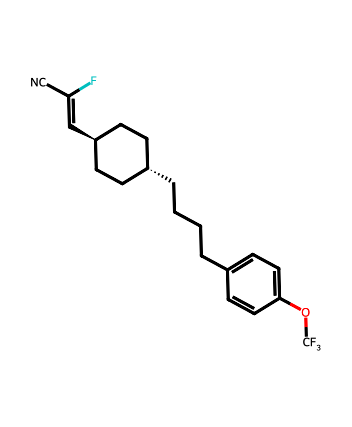 N#CC(F)=C[C@H]1CC[C@H](CCCCc2ccc(OC(F)(F)F)cc2)CC1